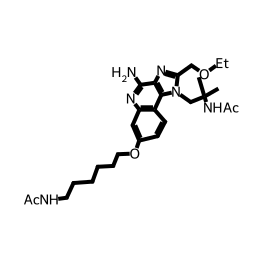 CCOCc1nc2c(N)nc3cc(OCCCCCCNC(C)=O)ccc3c2n1CC(C)(C)NC(C)=O